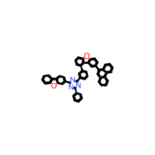 c1ccc(-c2nc(-c3cccc(-c4cccc5oc6ccc(-c7cc8ccccc8c8ccccc78)cc6c45)c3)nc(-c3ccc4c(c3)oc3ccccc34)n2)cc1